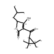 CC(C)CC1OC(=O)C(C(=O)C2C(C)(C)C2(C)C)=C1O